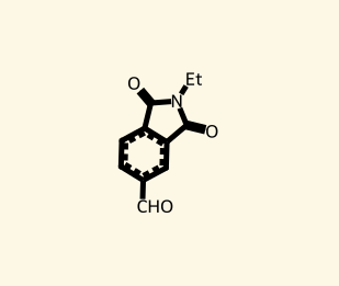 CCN1C(=O)c2ccc(C=O)cc2C1=O